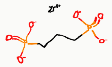 O=P([O-])([O-])CCCP(=O)([O-])[O-].[Zr+4]